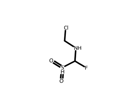 O=[SH](=O)C(F)NCCl